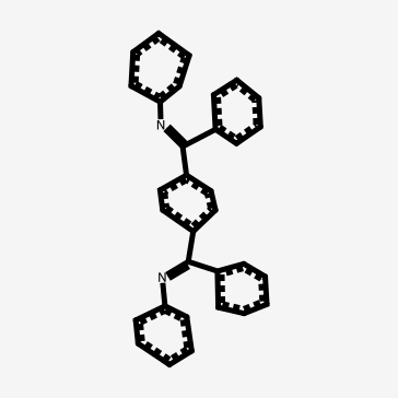 c1ccc(/N=C(\c2ccccc2)c2ccc(/C(=N/c3ccccc3)c3ccccc3)cc2)cc1